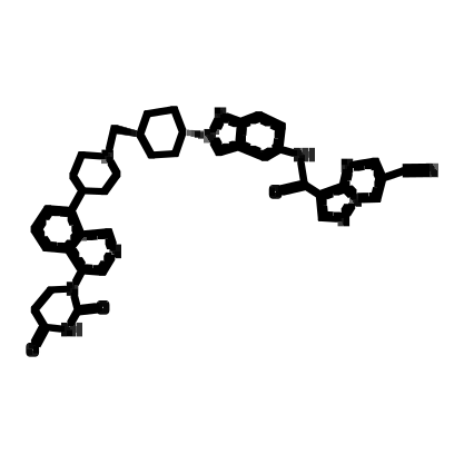 N#Cc1cnc2c(C(=O)Nc3ccc4nn([C@H]5CC[C@H](CN6CCC(c7cccc8c(N9CCC(=O)NC9=O)cncc78)CC6)CC5)cc4c3)cnn2c1